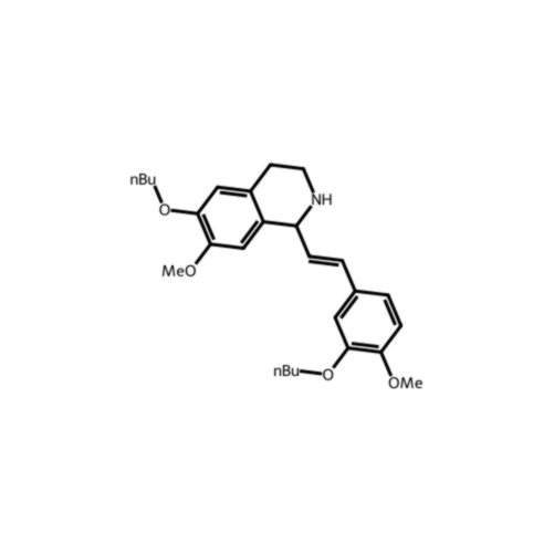 CCCCOc1cc(/C=C/C2NCCc3cc(OCCCC)c(OC)cc32)ccc1OC